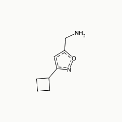 NCc1cc(C2CCC2)no1